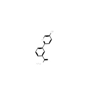 COC(=O)c1cccc(-c2ccc(N)cn2)c1